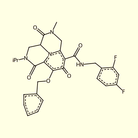 CC(C)N1CC2C(=O)N(C)Cc3c(C(=O)NCc4ccc(F)cc4F)c(=O)c(OCc4ccccc4)c(n32)C1=O